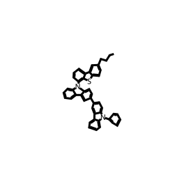 CCCCc1ccc2sc3c(-n4c5ccccc5c5cc(-c6ccc7c(c6)c6ccccc6n7-c6ccccc6)ccc54)cccc3c2c1